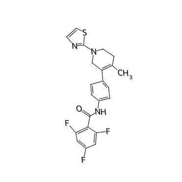 CC1=C(c2ccc(NC(=O)c3c(F)cc(F)cc3F)cc2)CN(c2nccs2)CC1